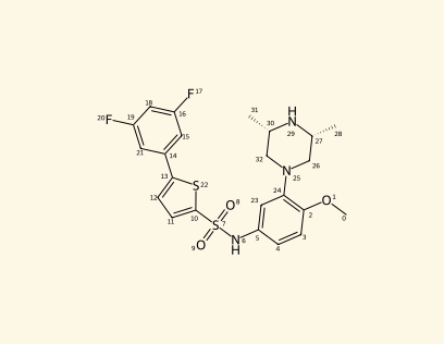 COc1ccc(NS(=O)(=O)c2ccc(-c3cc(F)cc(F)c3)s2)cc1N1C[C@@H](C)N[C@@H](C)C1